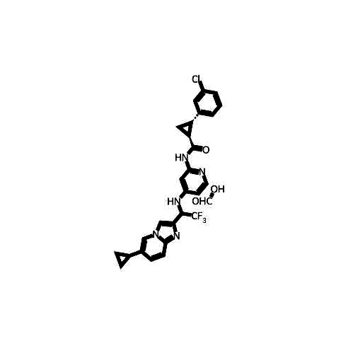 O=C(Nc1cc(NC(c2cn3cc(C4CC4)ccc3n2)C(F)(F)F)ccn1)[C@H]1C[C@@H]1c1cccc(Cl)c1.O=CO